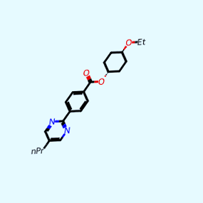 CCCc1cnc(-c2ccc(C(=O)O[C@H]3CC[C@H](OCC)CC3)cc2)nc1